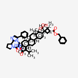 CC(C)C1=C2[C@H]3CC[C@@H]4[C@]5(C)CC[C@H]([C@@]6(C(=O)O)C[C@@H](C(=O)OCc7ccccc7)C6(C)C)C(C)(C)[C@H]5CC[C@@]4(C)[C@]3(C)CC[C@@]2(NC(=O)N2CCCC2c2ncc(-c3ccccc3)n2CCN(C)C)CC1=O